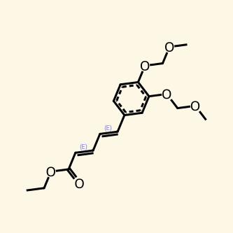 CCOC(=O)/C=C/C=C/c1ccc(OCOC)c(OCOC)c1